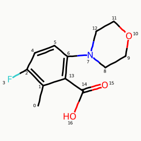 Cc1c(F)ccc(N2CCOCC2)c1C(=O)O